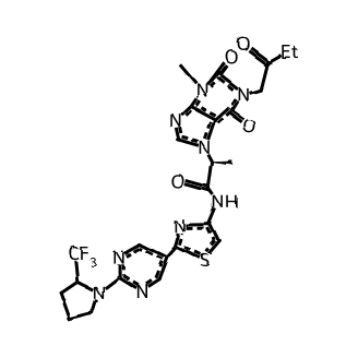 CCC(=O)Cn1c(=O)c2c(ncn2[C@@H](C)C(=O)Nc2csc(-c3cnc(N4CCCC4C(F)(F)F)nc3)n2)n(C)c1=O